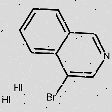 Brc1cncc2ccccc12.I.I